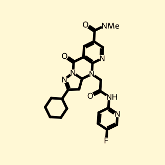 CNC(=O)c1cnc2c(c1)C(=O)N1N=C(C3CCCCC3)CC1N2CC(=O)Nc1ccc(F)cn1